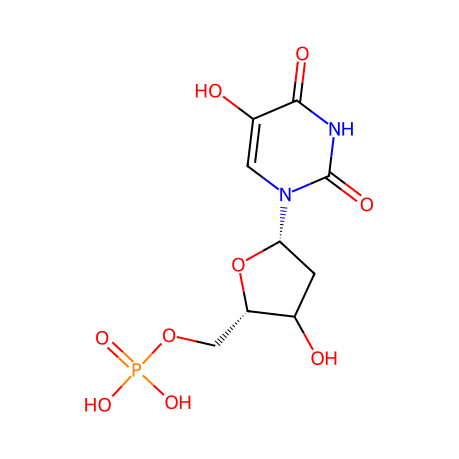 O=c1[nH]c(=O)n([C@@H]2CC(O)[C@H](COP(=O)(O)O)O2)cc1O